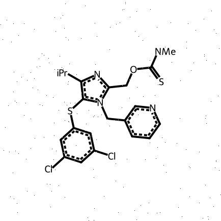 CNC(=S)OCc1nc(C(C)C)c(Sc2cc(Cl)cc(Cl)c2)n1Cc1cccnc1